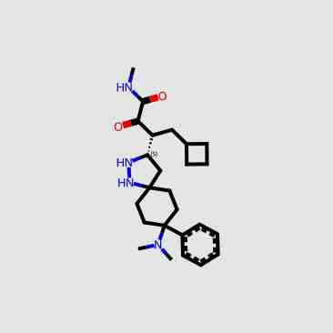 CNC(=O)C(=O)C(CC1CCC1)[C@@H]1CC2(CCC(c3ccccc3)(N(C)C)CC2)NN1